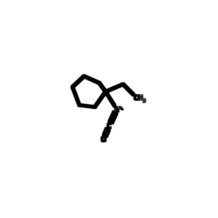 CCC1([N+]=C=O)CCCCC1